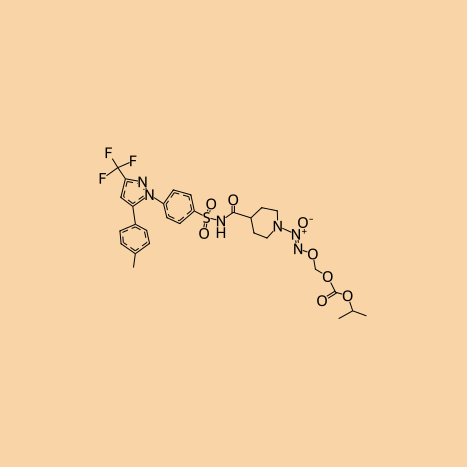 Cc1ccc(-c2cc(C(F)(F)F)nn2-c2ccc(S(=O)(=O)NC(=O)C3CCN([N+]([O-])=NOCOC(=O)OC(C)C)CC3)cc2)cc1